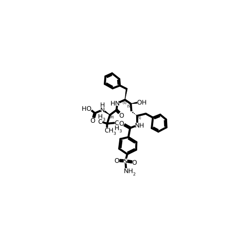 CC(C)(C)[C@@H](NC(=O)O)C(=O)N[C@@H](Cc1ccccc1)[C@@H](O)C[C@H](Cc1ccccc1)NC(=O)c1ccc(S(N)(=O)=O)cc1